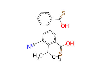 CC(C)c1c(C#N)cccc1C(O)=S.OC(=S)c1ccccc1